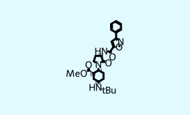 COC(=O)[C@@H]1C[C@H](NC(C)(C)C)CC[C@@H]1N1CC[C@H](NC(=O)c2cc(-c3ccccc3)no2)C1=O